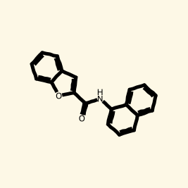 O=C(Nc1cccc2ccccc12)c1cc2ccccc2o1